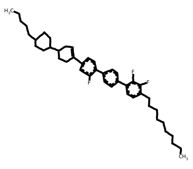 CCCCCCCCCCc1ccc(-c2ccc(-c3ccc(C4=CCC(C5CCC(CCCCC)CC5)CC4)cc3F)cc2)c(F)c1F